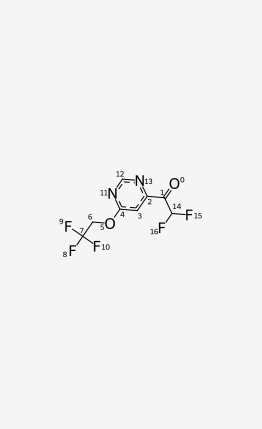 O=C(c1cc(OCC(F)(F)F)ncn1)C(F)F